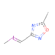 CI=Cc1noc(C)n1